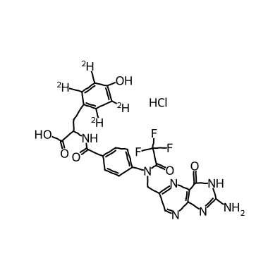 Cl.[2H]c1c([2H])c(CC(NC(=O)c2ccc(N(Cc3cnc4nc(N)[nH]c(=O)c4n3)C(=O)C(F)(F)F)cc2)C(=O)O)c([2H])c([2H])c1O